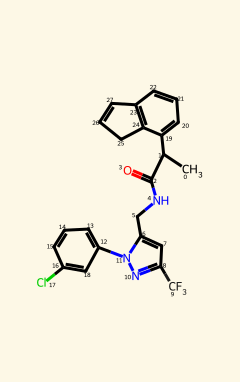 CC(C(=O)NCc1cc(C(F)(F)F)nn1-c1cccc(Cl)c1)c1cccc2c1CC=C2